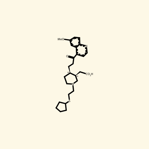 COc1ccc2nccc(C(=O)CC[C@@H]3CCN(CCSC4CCCC4)C[C@@H]3CC(=O)O)c2c1